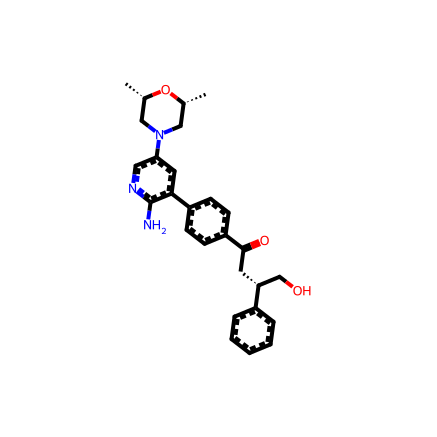 C[C@@H]1CN(c2cnc(N)c(-c3ccc(C(=O)C[C@H](CO)c4ccccc4)cc3)c2)C[C@H](C)O1